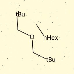 CC(C)(C)COCC(C)(C)C.CCCCCCC